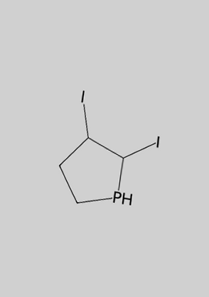 IC1CCPC1I